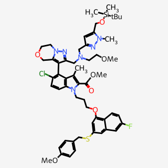 COCCN(Cc1cc(CO[Si](C)(C)C(C)(C)C)n(C)n1)Cc1nn2c(c1-c1c(Cl)ccc3c1c(C)c(C(=O)OC)n3CCCOc1cc(SCc3ccc(OC)cc3)cc3cc(F)ccc13)COCC2